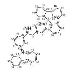 N=C(Cc1ccc(C2(c3ccccc3)c3ccccc3-c3ccccc32)cc1)c1cccc(-n2c3ccccc3c3ccccc32)c1